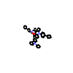 c1ccc(-c2ccc(N3c4ccccc4C4(c5ccccc53)c3ccccc3N(c3ccc(-c5ccccc5)cc3)c3ccc(-c5ccc6c(c5)c5ccccc5n6-c5ccccc5)cc34)cc2)cc1